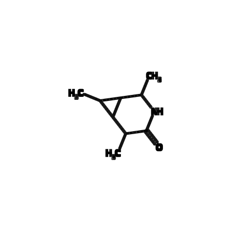 CC1NC(=O)C(C)C2C(C)C12